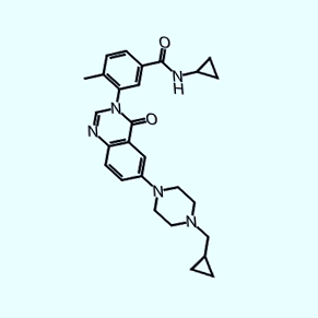 Cc1ccc(C(=O)NC2CC2)cc1-n1cnc2ccc(N3CCN(CC4CC4)CC3)cc2c1=O